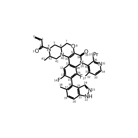 C=CC(=O)N1CC2COc3c(c4cc(F)c(-c5c(C)ccc6[nH]ncc56)c(F)c4n(-c4c(C)ccnc4C(C)C)c3=O)N2CC1C